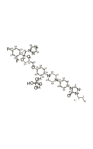 CC[C@H](C)n1ncn(-c2ccc(N3CCN(c4ccc(OC[C@H]5CO[C@](Cn6cncn6)(c6ccc(F)cc6F)O5)cc4)CC3)cc2)c1=O.O=P(O)(O)O